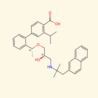 CC(C)c1cc(-c2ccccc2[C@@H](C)OC[C@H](O)CNC(C)(C)Cc2ccc3ccccc3c2)ccc1C(=O)O